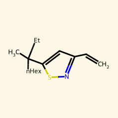 C=Cc1cc(C(C)(CC)CCCCCC)sn1